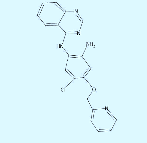 Nc1cc(OCc2ccccn2)c(Cl)cc1Nc1ncnc2ccccc12